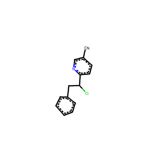 N#Cc1ccc(C(Cl)Cc2ccccc2)nc1